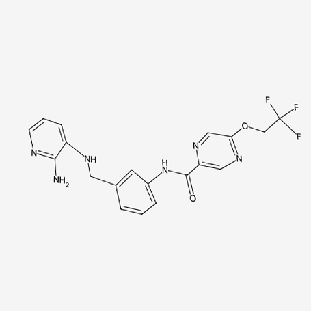 Nc1ncccc1NCc1cccc(NC(=O)c2cnc(OCC(F)(F)F)cn2)c1